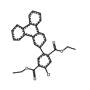 CCOC(=O)c1cc(-c2ccc3c4ccccc4c4ccccc4c3c2)c(C(=O)OCC)cc1Cl